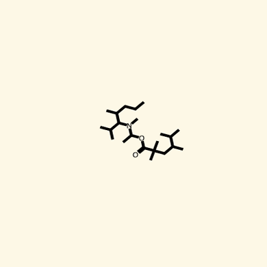 CCCC(C)C(C(C)C)N(C)C(C)OC(=O)C(C)(C)CC(C)C(C)C